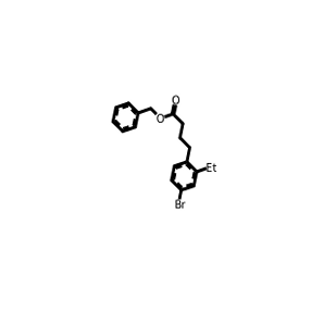 CCc1cc(Br)ccc1CCCC(=O)OCc1ccccc1